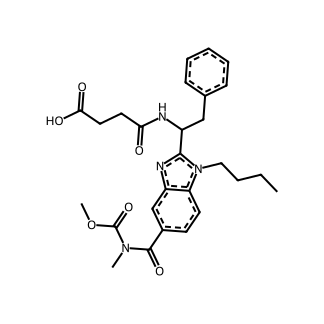 CCCCn1c(C(Cc2ccccc2)NC(=O)CCC(=O)O)nc2cc(C(=O)N(C)C(=O)OC)ccc21